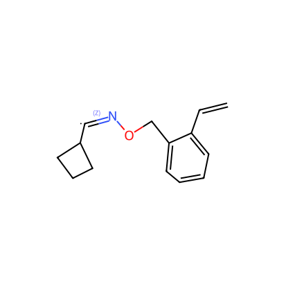 C=Cc1ccccc1CO/N=[C]\C1CCC1